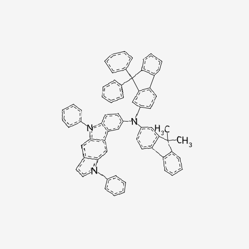 CC1(C)c2ccccc2-c2ccc(N(c3ccc4c(c3)C(c3ccccc3)(c3ccccc3)c3ccccc3-4)c3ccc4c(c3)c3cc5c(ccn5-c5ccccc5)cc3n4-c3ccccc3)cc21